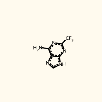 Nc1nc(C(F)(F)F)nc2[nH]cnc12